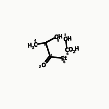 CCC(=O)C(C)O.O=C(O)O